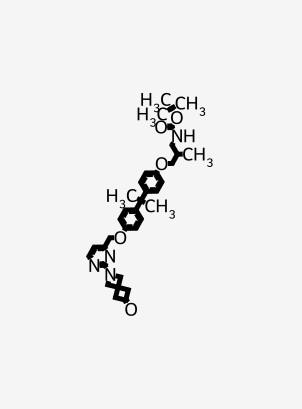 CC(CNC(=O)OC(C)(C)C)COc1ccc(C(C)(C)c2ccc(OCc3ccnc(N4CC5(CC(=O)C5)C4)n3)cc2)cc1